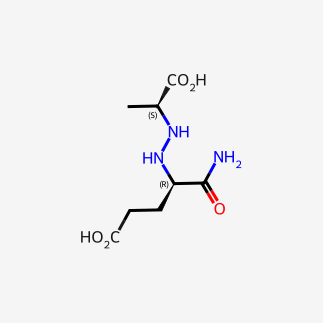 C[C@H](NN[C@H](CCC(=O)O)C(N)=O)C(=O)O